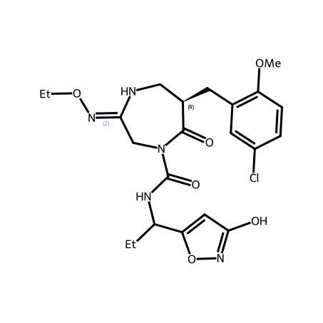 CCO/N=C1/CN(C(=O)NC(CC)c2cc(O)no2)C(=O)[C@H](Cc2cc(Cl)ccc2OC)CN1